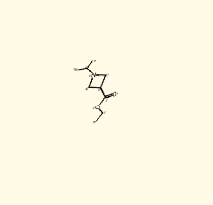 CCOC(=O)C1CN(C(C)C)C1